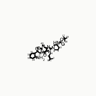 CC(C)=CCn1c(N2CCCC(NC(=O)OC(C)(C)C)C2)nc2c1c(=O)n(CC(=O)c1ccccc1N)c(=O)n2C